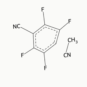 CC#N.N#Cc1c(F)c(F)cc(F)c1F